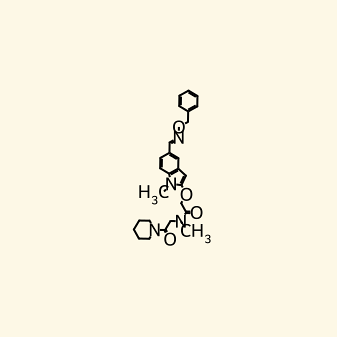 CN(CC(=O)N1CCCCC1)C(=O)COc1cc2cc(C=NOCc3ccccc3)ccc2n1C